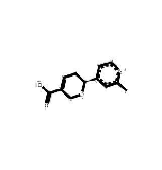 Cc1cc([C@@H]2CC=C(C(=O)O)CO2)ccn1